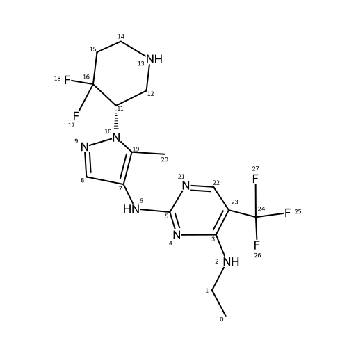 CCNc1nc(Nc2cnn([C@H]3CNCCC3(F)F)c2C)ncc1C(F)(F)F